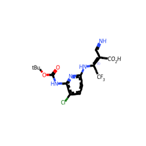 CC(C)(C)OC(=O)Nc1nc(N/C(=C(\C=N)C(=O)O)C(F)(F)F)ccc1Cl